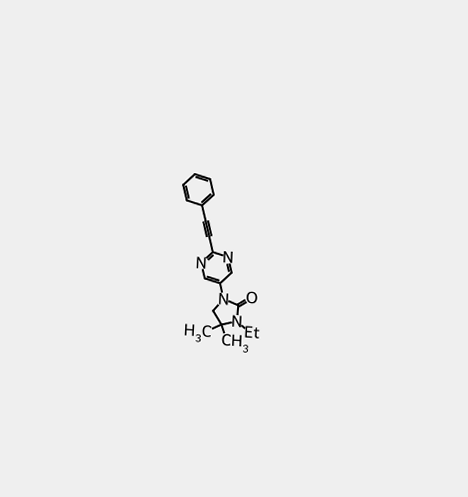 CCN1C(=O)N(c2cnc(C#Cc3ccccc3)nc2)CC1(C)C